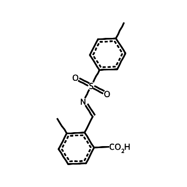 Cc1ccc(S(=O)(=O)N=Cc2c(C)cccc2C(=O)O)cc1